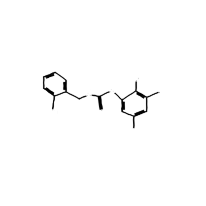 Cc1ccccc1CNC(=O)Nc1cc(F)cc(F)c1O